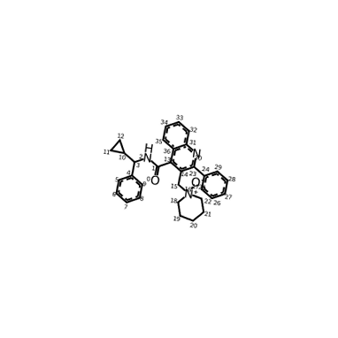 O=C(NC(c1ccccc1)C1CC1)c1c(C[N+]2([O-])CCCCC2)c(-c2ccccc2)nc2ccccc12